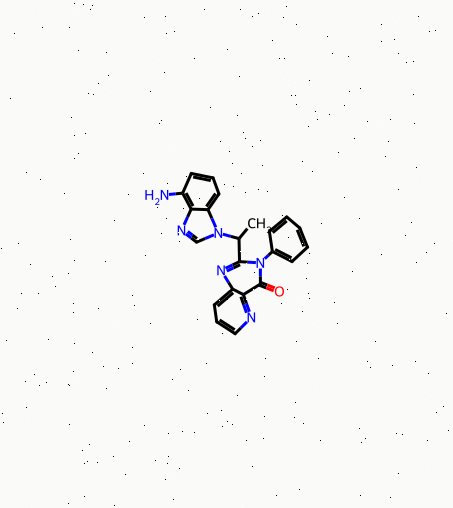 CC(c1nc2cccnc2c(=O)n1-c1ccccc1)n1cnc2c(N)cccc21